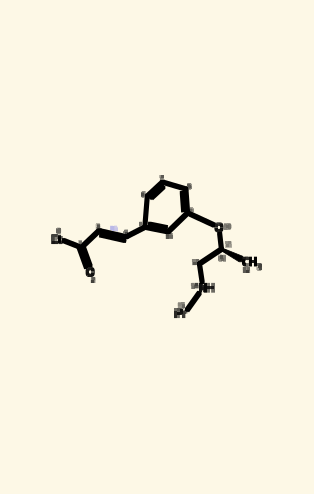 CCC(=O)/C=C/c1cccc(O[C@@H](C)CNC(C)C)c1